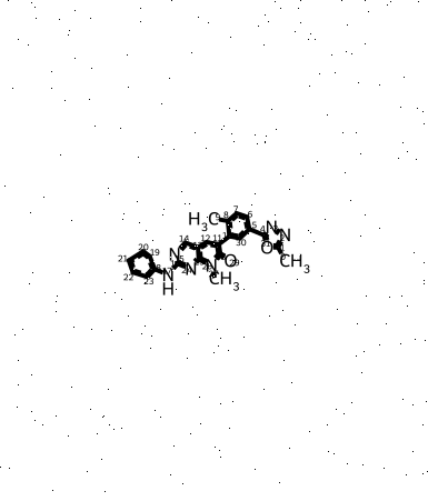 Cc1nnc(-c2ccc(C)c(-c3cc4cnc(Nc5ccccc5)nc4n(C)c3=O)c2)o1